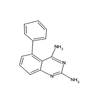 Nc1nc(N)c2c(-c3ccccc3)cccc2n1